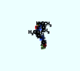 Cc1ccc(C(C)C)c(N2CCCS/C2=N\C(=O)NCC(C)(C)Cc2ccc(-c3ncn(-c4ccc(OC(F)(F)F)cc4)n3)cc2)c1